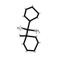 CC1(C(N)(N)C2CCCCC2)CCCCC1